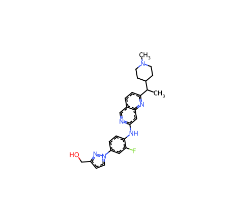 CC(c1ccc2cnc(Nc3ccc(-n4ccc(CO)n4)cc3F)cc2n1)C1CCN(C)CC1